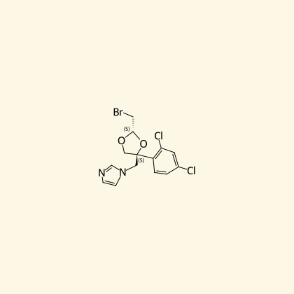 Clc1ccc([C@]2(Cn3ccnc3)CO[C@H](CBr)O2)c(Cl)c1